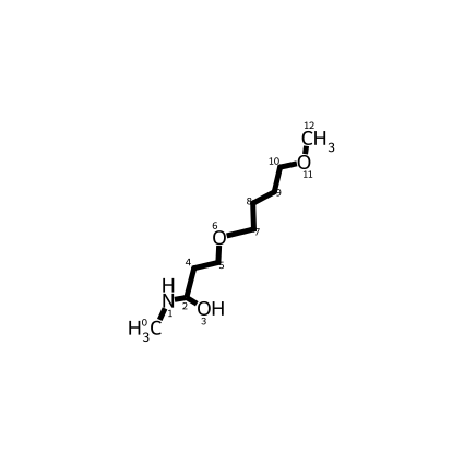 CNC(O)CCOCCCCOC